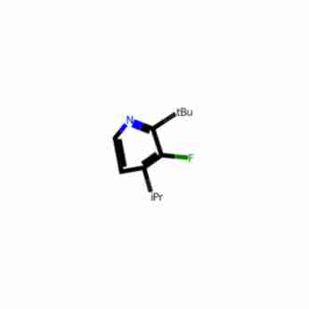 CC(C)c1ccnc(C(C)(C)C)c1F